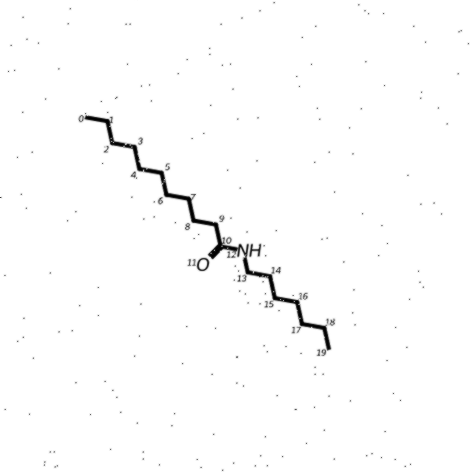 CCCCCCCCCCC(=O)NCCCCCCC